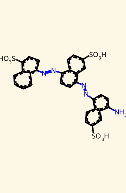 Nc1ccc(N=Nc2ccc(N=Nc3ccc(S(=O)(=O)O)c4ccccc34)c3ccc(S(=O)(=O)O)cc23)c2ccc(S(=O)(=O)O)cc12